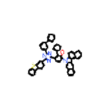 c1ccc(-c2cccc(-c3nc(-c4ccc5c(c4)sc4ccccc45)nc(-c4ccc(-n5c6cc7ccccc7cc6c6c7ccccc7ccc65)c5oc6ccccc6c45)n3)c2)cc1